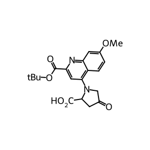 COc1ccc2c(N3CC(=O)CC3C(=O)O)cc(C(=O)OC(C)(C)C)nc2c1